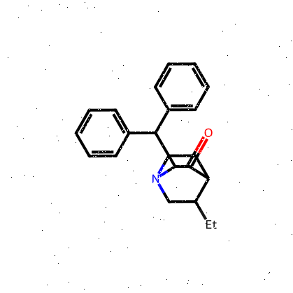 CCC1CN2CCC1C(=O)C2C(c1ccccc1)c1ccccc1